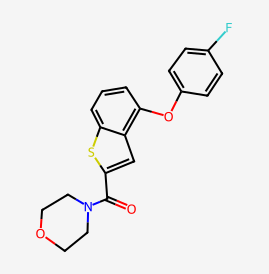 O=C(c1cc2c(Oc3ccc(F)cc3)cccc2s1)N1CCOCC1